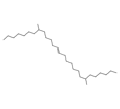 [CH2]CCCCCCC(C)CCCC/C=C/CCCCCCC(C)CCCCC[CH2]